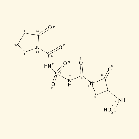 O=C(O)NC1CN(C(=O)NS(=O)(=O)NC(=O)N2CCCC2=O)C1=O